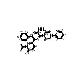 CC(C)n1nc(-c2nc(N3CCN(c4ccccn4)CC3)c(N)nc2-c2ccccc2)ccc1=O